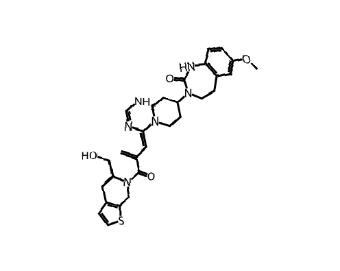 C=C(/C=C(\N=C/N)N1CCC(N2CCc3cc(OC)ccc3NC2=O)CC1)C(=O)N1Cc2sccc2CC1CO